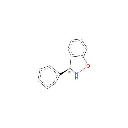 c1ccc([C@@H]2NOc3ccccc32)cc1